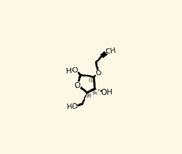 C#CCO[C@@H]1C(O)O[C@H](CO)[C@H]1O